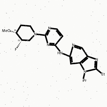 CCc1nc2cnc(Nc3ccnc(N4CC[C@@H](OC)[C@@H](F)C4)n3)cc2n1C(C)C